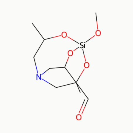 CO[Si]12OC(C)CN(CC(C)O1)CC(C=O)O2